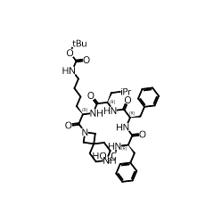 CC(C)C[C@@H](NC(=O)[C@@H](Cc1ccccc1)NC(=O)[C@@H](Cc1ccccc1)NC(=O)O)C(=O)N[C@H](CCCCNC(=O)OC(C)(C)C)C(=O)N1CC2(CCNCC2)C1